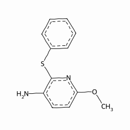 COc1ccc(N)c(Sc2ccccc2)n1